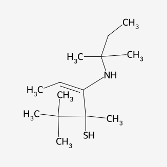 C/C=C(/NC(C)(C)CC)C(C)(S)C(C)(C)C